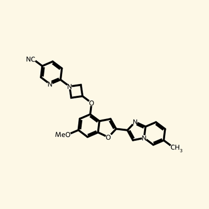 COc1cc(OC2CN(c3ccc(C#N)cn3)C2)c2cc(-c3cn4cc(C)ccc4n3)oc2c1